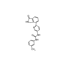 Cc1cccc(NC(=O)Nc2ccc(-c3cccc4c3CNC4=O)nc2)c1